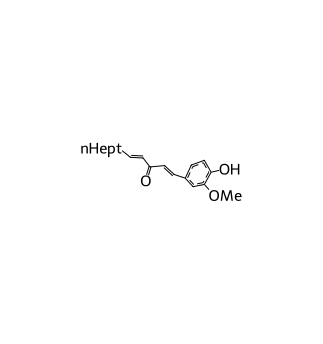 CCCCCCC/C=C/C(=O)/C=C/c1ccc(O)c(OC)c1